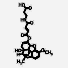 COc1ccc2c3c1OC1C(OC(=O)/C=C/C(=O)NCCC(=O)O)=CC[C@@]4(O)[C@@H](C2)N(C)CCC314